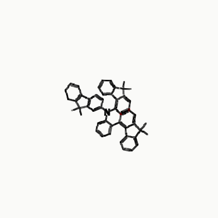 CC1(C)C2=C(C=CCC2)c2ccc(N(c3ccccc3-c3cccc4c3-c3ccccc3C4(C)C)c3cccc4c3-c3ccccc3C4(C)C)cc21